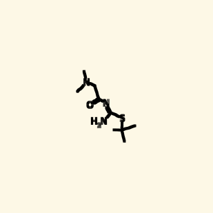 CN(C)CC(=O)/N=C(\N)SC(C)(C)C